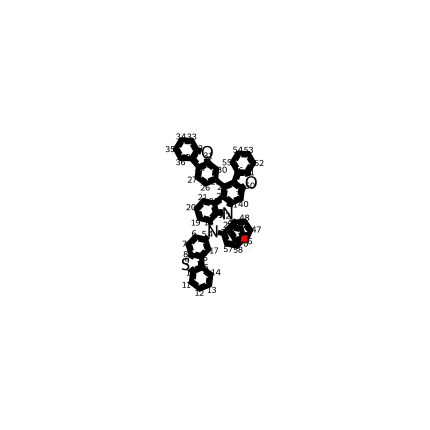 c1ccc(N(c2ccc3sc4ccccc4c3c2)c2cccc3c4c(-c5ccc6c(c5)oc5ccccc56)c5c(cc4n(-c4ccccc4)c23)oc2ccccc25)cc1